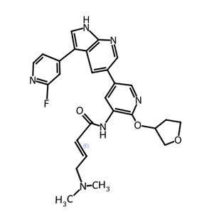 CN(C)C/C=C/C(=O)Nc1cc(-c2cnc3[nH]cc(-c4ccnc(F)c4)c3c2)cnc1OC1CCOC1